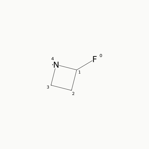 FC1CC[N]1